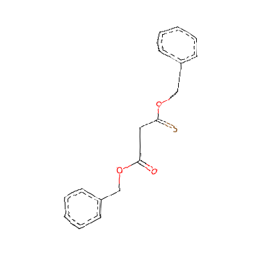 O=C(CC(=S)OCc1ccccc1)OCc1ccccc1